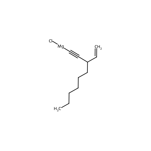 C=CC(C#[C][Mg][Cl])CCCCCC